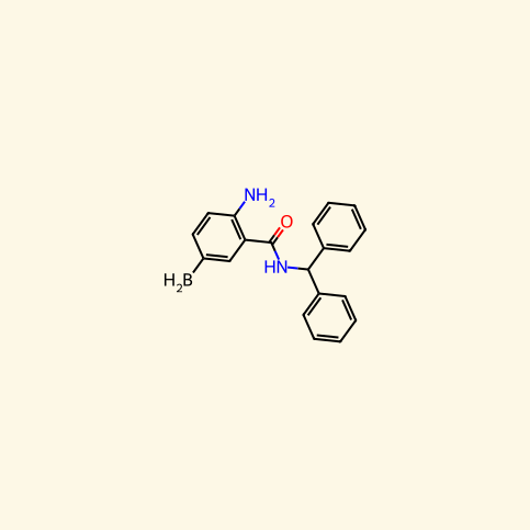 Bc1ccc(N)c(C(=O)NC(c2ccccc2)c2ccccc2)c1